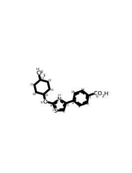 O=C(O)c1ccc(-c2csc(OC3CCC(C(F)(F)F)CC3)n2)cc1